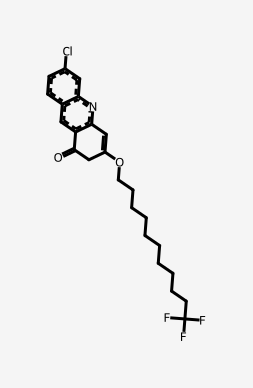 O=C1CC(OCCCCCCCCCCC(F)(F)F)=Cc2nc3cc(Cl)ccc3cc21